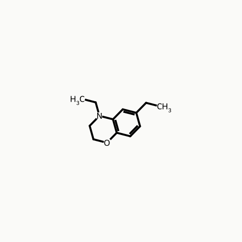 CCc1ccc2c(c1)N(CC)CCO2